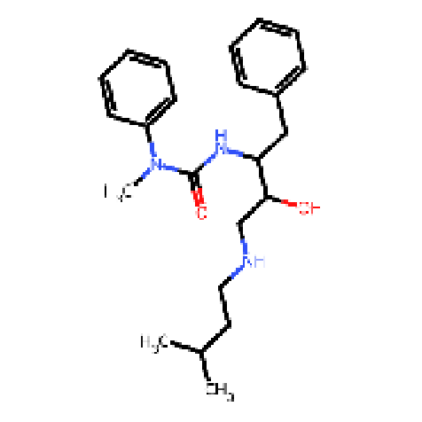 CC(C)CCNCC(O)C(Cc1ccccc1)NC(=O)N(C)c1ccccc1